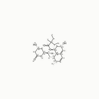 CCC(C)(CC)C(=O)O[C@H]1C[C@H](O)C=C2C=C[C@H](C)[C@H](CC[C@@H]3C[C@@H](O)CC(=O)O3)[C@H]21